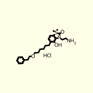 CS1(C)C(=O)N(CCN)c2c1ccc(CCCCCCOCCc1ccccc1)c2O.Cl